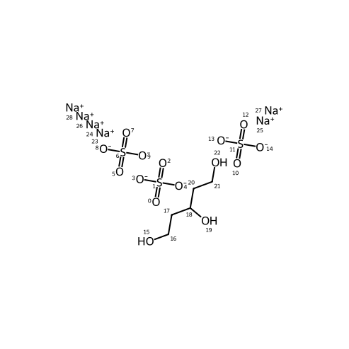 O=S(=O)([O-])[O-].O=S(=O)([O-])[O-].O=S(=O)([O-])[O-].OCCC(O)CCO.[Na+].[Na+].[Na+].[Na+].[Na+].[Na+]